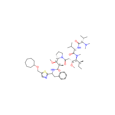 CC[C@H](C)[C@@H]([C@@H](CC(=O)N1CCC[C@H]1[C@H](OC)[C@@H](C)C(=O)NC(Cc1ccccc1)c1ncc(COC2CCCCCC2)s1)OC)N(C)C(=O)[C@@H](NC(=O)[C@H](C(C)C)N(C)C)C(C)C